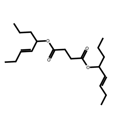 CC/C=C/C(CCC)OC(=O)CCC(=O)OC(/C=C/CC)CCC